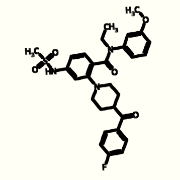 CCN(C(=O)c1ccc(NS(C)(=O)=O)cc1N1CCC(C(=O)c2ccc(F)cc2)CC1)c1cccc(OC)c1